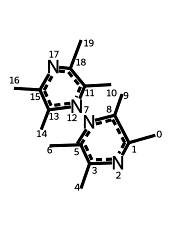 Cc1nc(C)c(C)nc1C.Cc1nc(C)c(C)nc1C